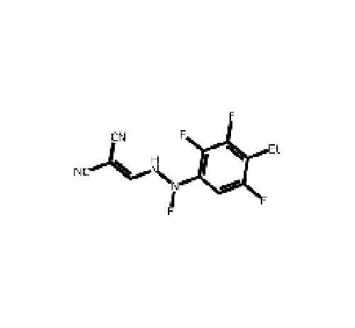 CCc1c(F)cc(N(F)NC=C(C#N)C#N)c(F)c1F